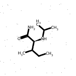 CCC(C)[C@H](NC(C)C)C(N)=O